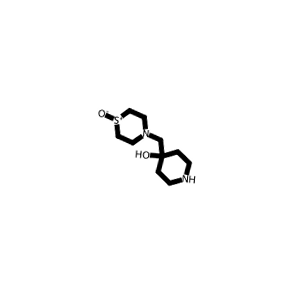 [O-][S+]1CCN(CC2(O)CCNCC2)CC1